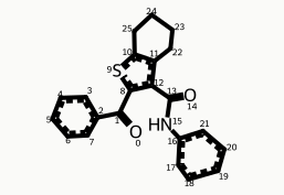 O=C(c1ccccc1)c1sc2c(c1C(=O)Nc1ccccc1)CCCC2